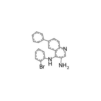 Nc1cnc2ccc(-c3ccccc3)cc2c1Nc1ccccc1Br